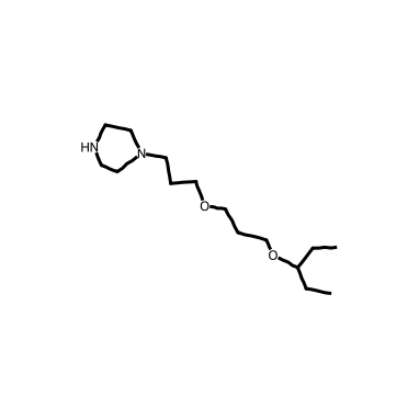 CCC(CC)OCCCOCCCN1CCNCC1